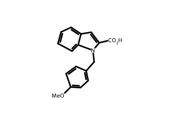 COc1ccc(Cn2c(C(=O)O)cc3ccccc32)cc1